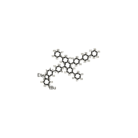 CCn1c2ccc(-c3ccc(-c4c5ccc(-c6ccccc6)cc5c(-c5ccc(-c6ccc(-c7ccccc7)cc6)cc5)c5ccc(-c6ccccc6)cc45)cc3)cc2c2cc(C(C)(C)C)ccc21